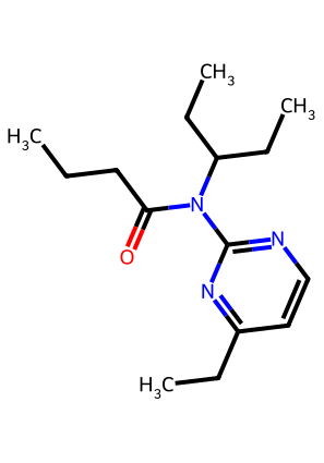 CCCC(=O)N(c1nccc(CC)n1)C(CC)CC